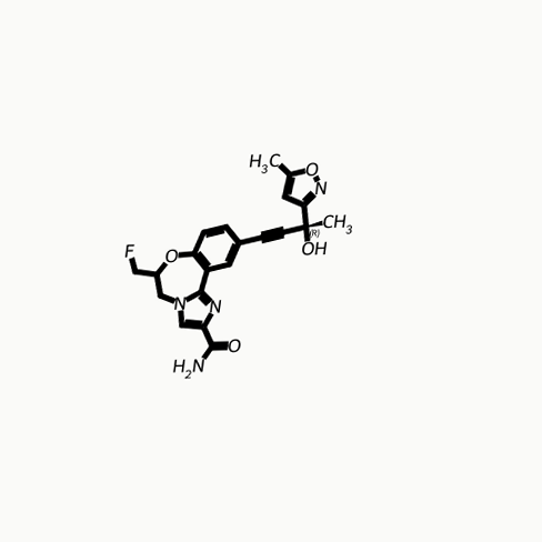 Cc1cc([C@](C)(O)C#Cc2ccc3c(c2)-c2nc(C(N)=O)cn2CC(CF)O3)no1